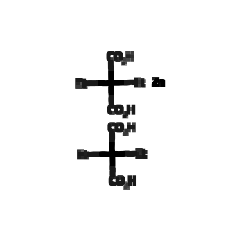 CCC(CC)(C(=O)O)C(=O)O.CCC(CC)(C(=O)O)C(=O)O.[Zn]